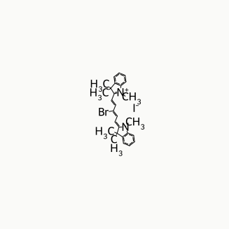 CN1C(=CC=C(Br)C=CC2=[N+](C)c3ccccc3C2(C)C)C(C)(C)c2ccccc21.[I-]